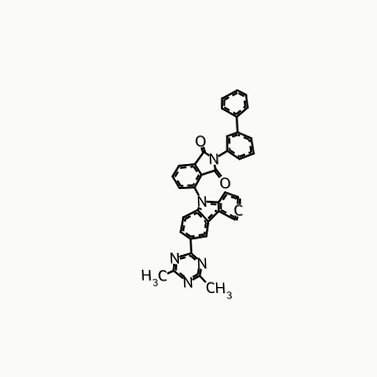 Cc1nc(C)nc(-c2ccc3c(c2)c2ccccc2n3-c2cccc3c2C(=O)N(c2cccc(-c4ccccc4)c2)C3=O)n1